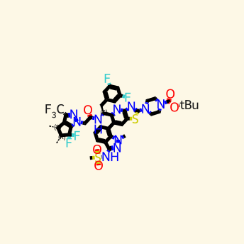 C[C@@H]1c2c(C(F)(F)F)nn(CC(=O)N[C@@H](Cc3cc(F)cc(F)c3)c3nc4nc(N5CCN(C(=O)OC(C)(C)C)CC5)sc4cc3-c3cccc4c(NS(C)(=O)=O)nn(C)c34)c2C(F)(F)[C@@H]1C